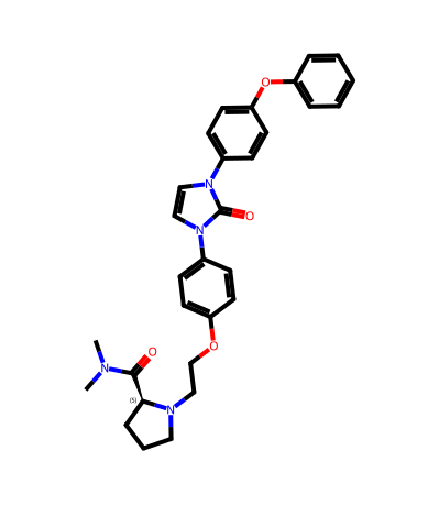 CN(C)C(=O)[C@@H]1CCCN1CCOc1ccc(-n2ccn(-c3ccc(Oc4ccccc4)cc3)c2=O)cc1